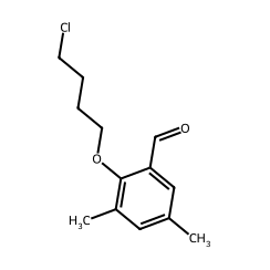 Cc1cc(C)c(OCCCCCl)c(C=O)c1